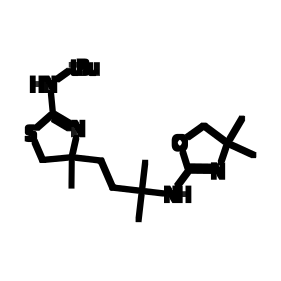 CC1(C)COC(NC(C)(C)CCC2(C)CSC(NC(C)(C)C)=N2)=N1